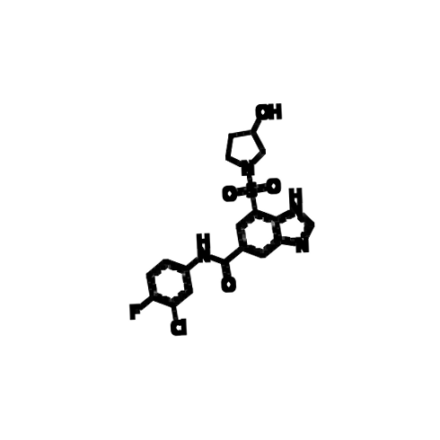 O=C(Nc1ccc(F)c(Cl)c1)c1cc(S(=O)(=O)N2CCC(O)C2)c2[nH]cnc2c1